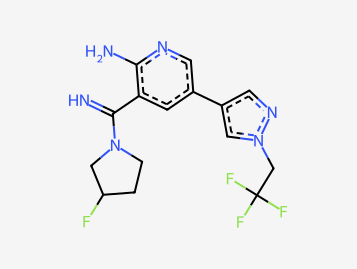 N=C(c1cc(-c2cnn(CC(F)(F)F)c2)cnc1N)N1CCC(F)C1